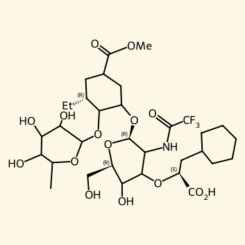 CC[C@@H]1CC(C(=O)OC)CC(O[C@@H]2O[C@H](CO)C(O)C(O[C@@H](CC3CCCCC3)C(=O)O)C2NC(=O)C(F)(F)F)C1OC1OC(C)C(O)C(O)C1O